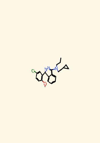 CCCN(CC1CC1)c1nnc(-c2cc(Cl)ccc2OC)c2ccccc12